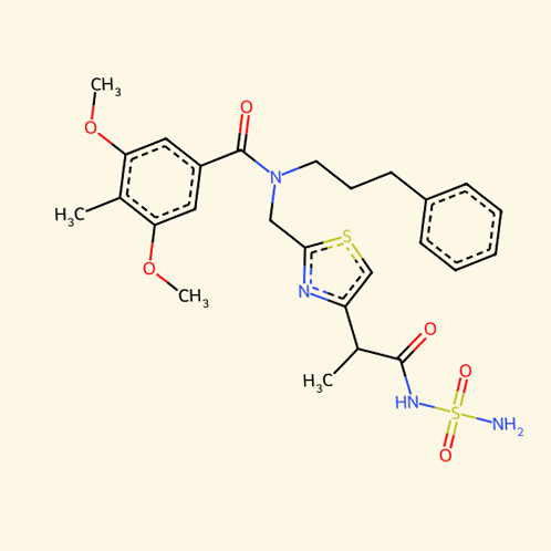 COc1cc(C(=O)N(CCCc2ccccc2)Cc2nc(C(C)C(=O)NS(N)(=O)=O)cs2)cc(OC)c1C